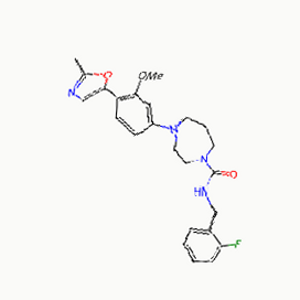 COc1cc(N2CCCN(C(=O)NCc3ccccc3F)CC2)ccc1-c1cnc(C)o1